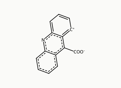 O=C([O-])c1c2c(nc3ccccc13)=CC=C[C+]=2